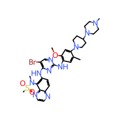 COc1cc(N2CCC(N3CCN(C)CC3)CC2)c(C)cc1Nc1ncc(Br)c(Nc2ccc3nccnc3c2N(C)S(C)(=O)=O)n1